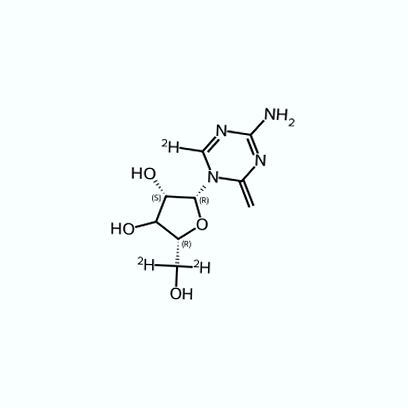 [2H]C1=NC(N)=NC(=C)N1[C@@H]1O[C@H](C([2H])([2H])O)C(O)[C@@H]1O